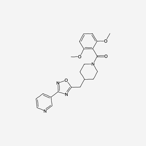 COc1cccc(OC)c1C(=O)N1CCC(Cc2nc(-c3cccnc3)no2)CC1